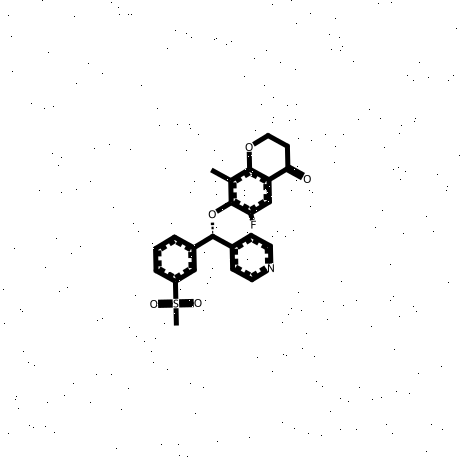 Cc1c(O[C@H](c2ccncc2)c2cccc(S(C)(=O)=O)c2)c(F)cc2c1OCCC2=O